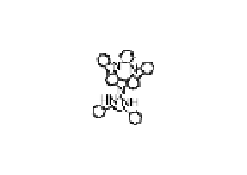 C1=CC2C(C=C1)n1c3ccccc3c3ccc4c(c5c(ccc6c7ccccc7n2c65)n4C2NC(c4ccccc4)=CC(c4ccccc4)N2)c31